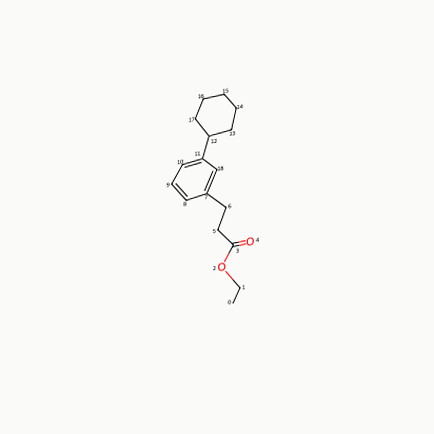 CCOC(=O)CCc1cccc(C2CCCCC2)c1